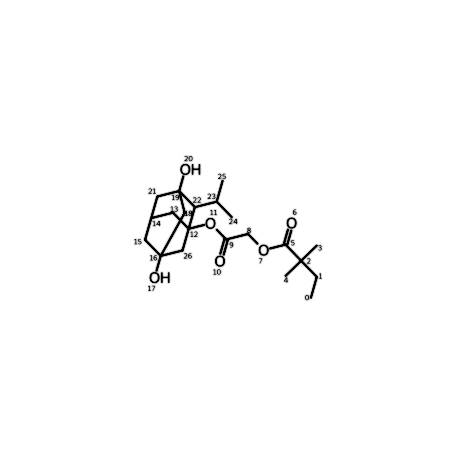 CCC(C)(C)C(=O)OCC(=O)OC12CC3CC(O)(CC(O)(C3)C1C(C)C)C2